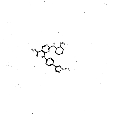 Cn1cc(-c2ccc(Nc3nc(N[C@@H]4CCCC[C@@H]4N)ncc3C(N)=O)cc2)cn1